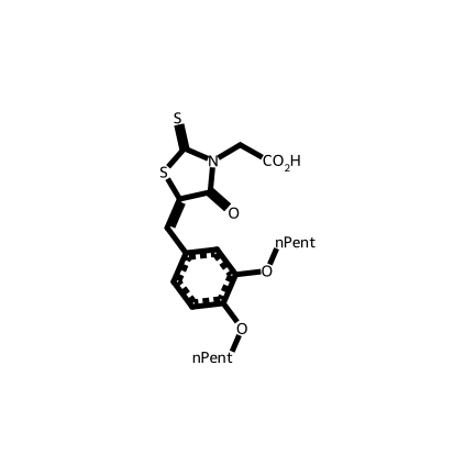 CCCCCOc1ccc(C=C2SC(=S)N(CC(=O)O)C2=O)cc1OCCCCC